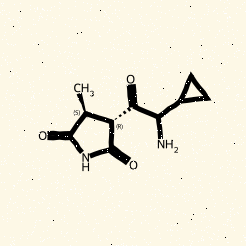 C[C@@H]1C(=O)NC(=O)[C@H]1C(=O)C(N)C1CC1